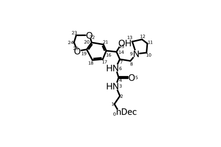 CCCCCCCCCCCCNC(=O)NC(CN1CCCC1)C(O)c1ccc2c(c1)OCCO2